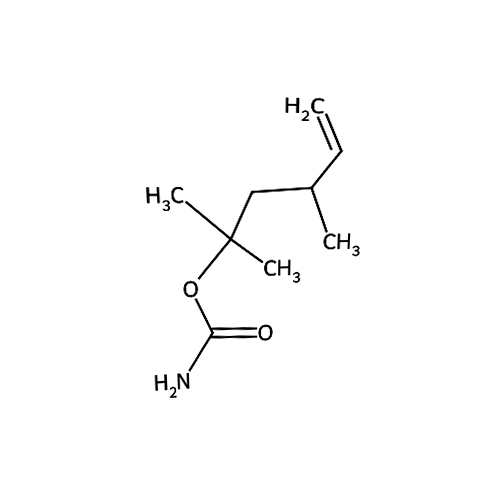 C=CC(C)CC(C)(C)OC(N)=O